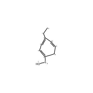 CCC1=CC=C(SO)CC=C1